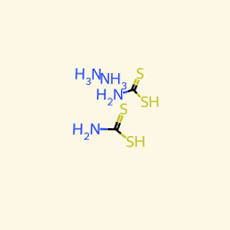 N.N.NC(=S)S.NC(=S)S